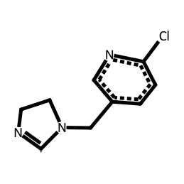 Clc1ccc(CN2[C]=NCC2)cn1